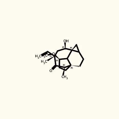 C=C[C@]1(C)C[C@@H](O)[C@]23CC2CC[C@]2(CC[C@@H](OC)C23)[C@@H](C)C1=O